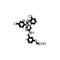 Cc1c(Cl)cccc1N(CC(=O)NCc1cccc(OCC=O)c1)S(=O)(=O)c1ccc(Cl)cc1